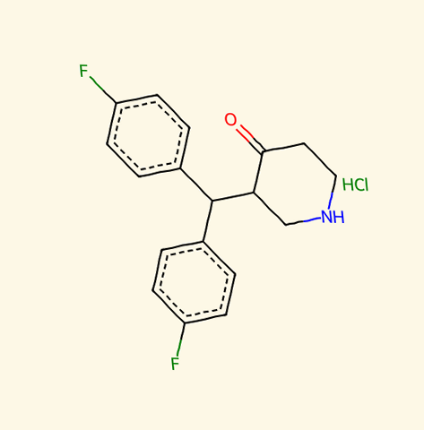 Cl.O=C1CCNCC1C(c1ccc(F)cc1)c1ccc(F)cc1